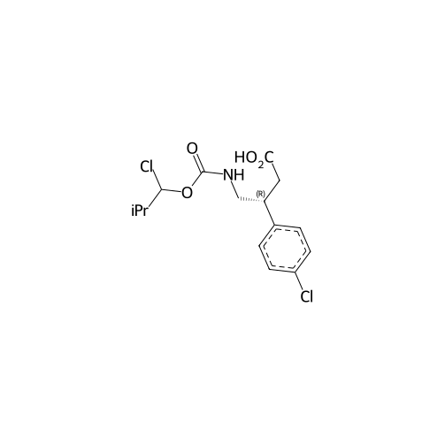 CC(C)C(Cl)OC(=O)NC[C@H](CC(=O)O)c1ccc(Cl)cc1